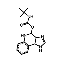 CC(C)(C)NC(=O)OC1Nc2ccccc2C2NC=NC12